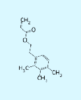 C=CC(=O)OCCc1ccc(C)c(C)c1C